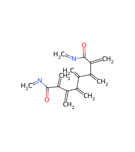 C=NC(=O)C(=C)C(=C)C(=C)C(=C)C(=C)C(=C)C(=O)N=C